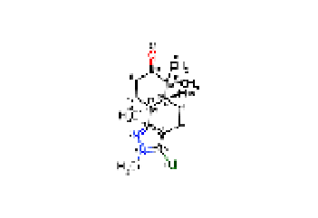 Cn1nc2c(c1Cl)CC[C@H]1C(C)(C)C(=O)CC[C@]21C